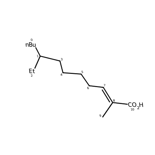 CCCCC(CC)CCCCC=C(C)C(=O)O